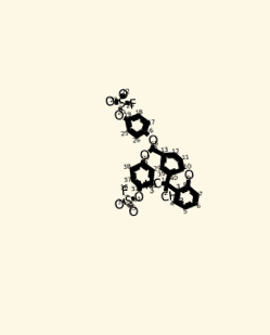 CC1(C)c2ccccc2Oc2ccc(C(Oc3ccc(OS(=O)(=O)F)cc3)Oc3ccc(OS(=O)(=O)F)cc3)cc21